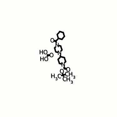 CC(C)(C)OC(=O)N1CCC(N2CCN(C(=O)C3CCCCC3)CC2)CC1.O=C(O)O